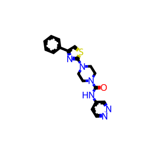 O=C(Nc1ccnnc1)N1CCN(c2nc(-c3ccccc3)cs2)CC1